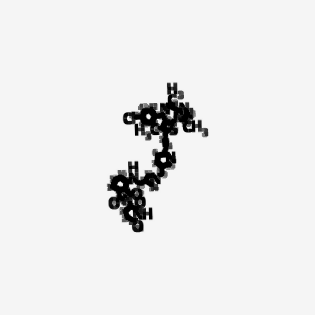 Cc1c(C#Cc2ccc(CN3CC(CNc4cccc5c4C(=O)N(C4CCC(=O)NC4=O)C5=O)C3)cn2)sc2c1C(c1ccc(Cl)cc1)=N[C@@H](C)c1nnc(C)n1-2